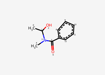 CC(O)N(C)C(=O)c1ccccc1